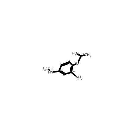 CNc1ccc(OC(C)O)c(N)c1